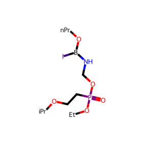 CCCOB(I)NCOP(=O)(CCOC(C)C)OCC